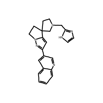 c1ccc2ncc(-c3cc4n(n3)CCC43CCN(Cc4ncc[nH]4)C3)cc2c1